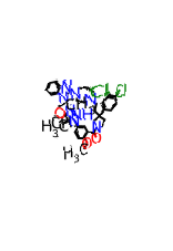 CCOCCn1c(N2CCCN(CCC3(c4ccc(Cl)c(Cl)c4)CCN(C(=O)c4cc(N5NN(C)CC5C)ccc4OC)C3)CC2)nc2ccccc21